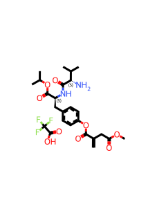 C=C(CC(=O)OC)C(=O)Oc1ccc(C[C@H](NC(=O)[C@@H](N)C(C)C)C(=O)OC(C)C)cc1.O=C(O)C(F)(F)F